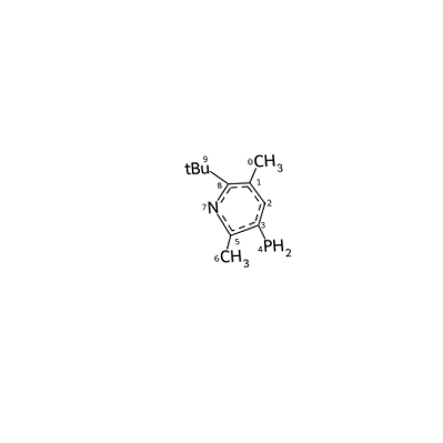 Cc1cc(P)c(C)nc1C(C)(C)C